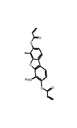 C=CC(=O)Oc1ccc2c(oc3c(OC)c(OC(=O)C=C)ccc32)c1C